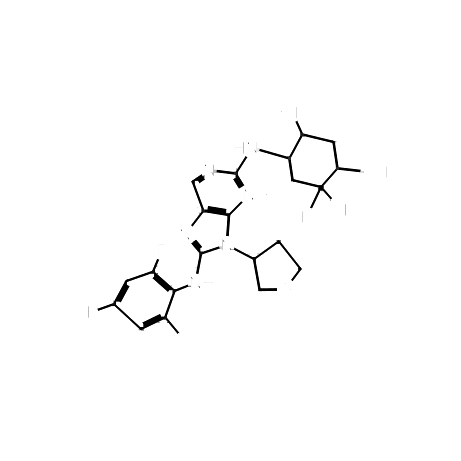 [2H]C1CC(O)C([2H])([2H])CC1Nc1ncc2nc(Nc3c(F)cc(F)cc3F)n(C3CCOC3)c2n1